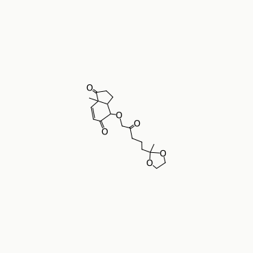 CC1(CCCC(=O)COC2C(=O)C=CC3(C)C(=O)CCC23)OCCO1